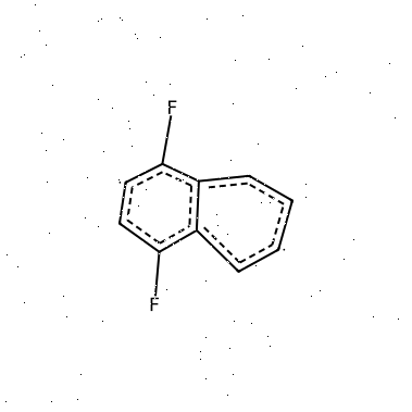 Fc1[c]cc(F)c2c[c]ccc12